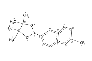 CC1(C)OB(c2ccc3cc(C(F)(F)F)cnc3c2)OC1(C)C